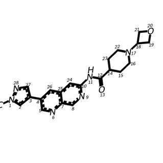 Cn1cc(-c2cnc3cnc(NC(=O)C4CCN(C5COC5)CC4)cc3c2)cn1